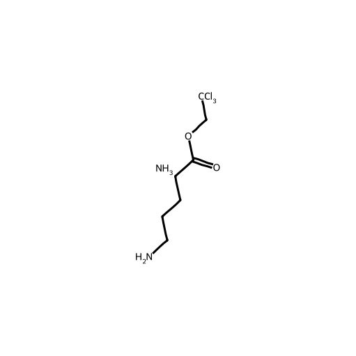 N.NCCCCC(=O)OCC(Cl)(Cl)Cl